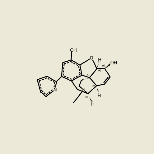 CN1CC[C@]23c4c5c(-c6cc[c]cn6)cc(O)c4O[C@H]2[C@@H](O)C=C[C@H]3[C@H]1C5